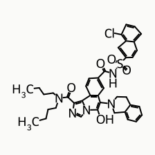 CCCCN(CCCC)C(=O)c1ncn2c(O)c(N3CCc4ccccc4C3)c3cc(C(=O)NS(=O)(=O)c4ccc5cccc(Cl)c5c4)ccc3c12